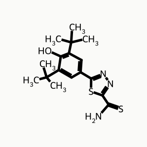 CC(C)(C)c1cc(-c2nnc(C(N)=S)s2)cc(C(C)(C)C)c1O